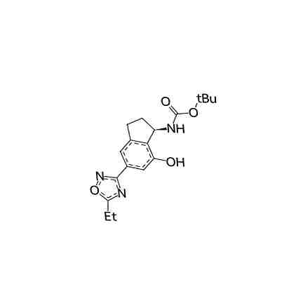 CCc1nc(-c2cc(O)c3c(c2)CC[C@H]3NC(=O)OC(C)(C)C)no1